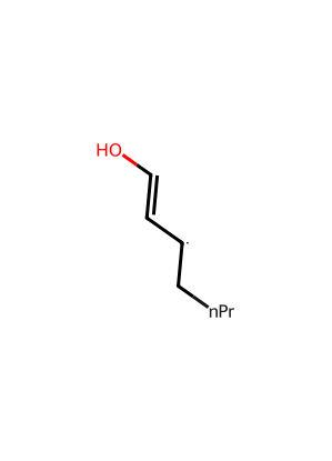 CCCC[CH]C=CO